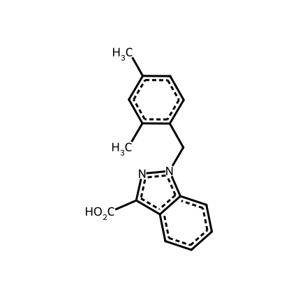 Cc1ccc(Cn2nc(C(=O)O)c3ccccc32)c(C)c1